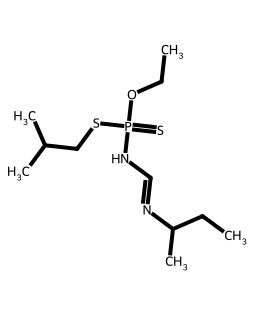 CCOP(=S)(NC=NC(C)CC)SCC(C)C